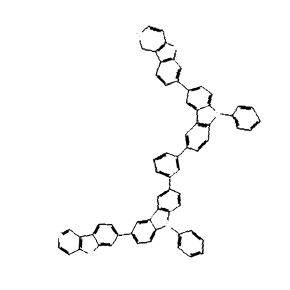 C1=Cc2oc3cc(-c4ccc5c(c4)c4cc(-c6cccc(-c7ccc8c(c7)c7cc(-c9ccc%10c(c9)oc9ccncc9%10)ccc7n8-c7ccccc7)c6)ccc4n5-c4ccccc4)ccc3c2CN1